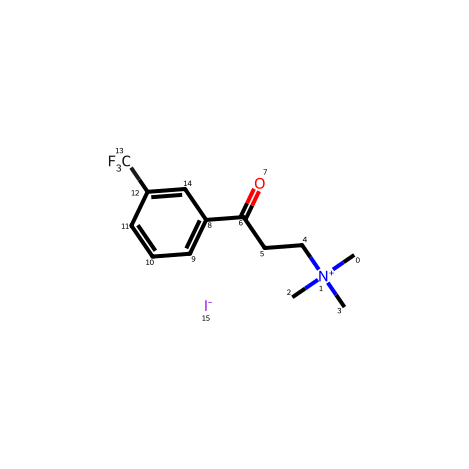 C[N+](C)(C)CCC(=O)c1cccc(C(F)(F)F)c1.[I-]